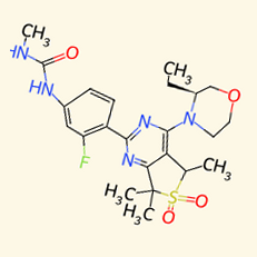 CC[C@H]1COCCN1c1nc(-c2ccc(NC(=O)NC)cc2F)nc2c1C(C)S(=O)(=O)C2(C)C